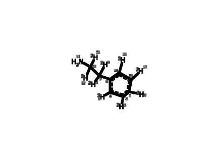 [2H]c1c([2H])c([2H])c(C([2H])([2H])C([2H])([2H])N)c([2H])c1[2H]